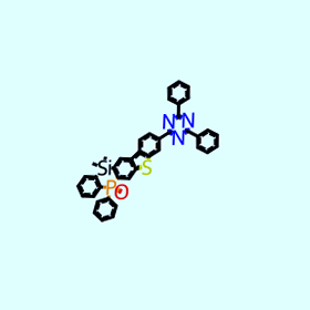 C[Si]1(C)c2ccccc2P(=O)(c2ccccc2)c2cc3sc4cc(-c5nc(-c6ccccc6)nc(-c6ccccc6)n5)ccc4c3cc21